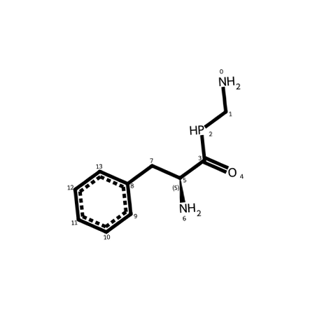 NCPC(=O)[C@@H](N)Cc1ccccc1